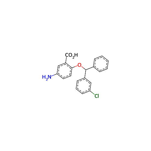 Nc1ccc(OC(c2ccccc2)c2cccc(Cl)c2)c(C(=O)O)c1